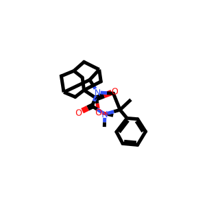 COC(=O)C12CC3CC(C1)C(N1CC(C)(c4ccccc4)N(C)C1=O)C(C3)C2